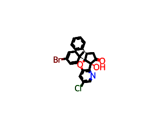 CC1([C@@]23Oc4cc(Cl)cnc4[C@]2(O)C(=O)C[C@H]3c2ccccc2)C=CC(Br)=CC1